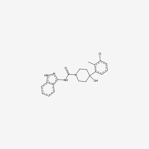 Cc1c(Cl)cccc1C1(O)CCN(C(=O)Nc2n[nH]c3ccccc23)CC1